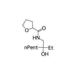 CCCCCC(O)(CC)CNC(=O)C1CCCO1